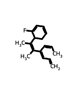 C=C/C=C(\C=C/C)C(/C)=C(/C)C1CC=CC=C1F